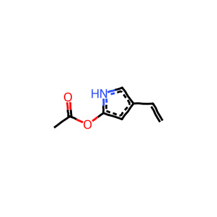 C=Cc1c[nH]c(OC(C)=O)c1